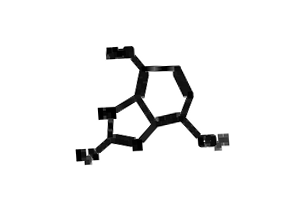 COc1ccc(C(=O)O)c2nc(N)[nH]c12